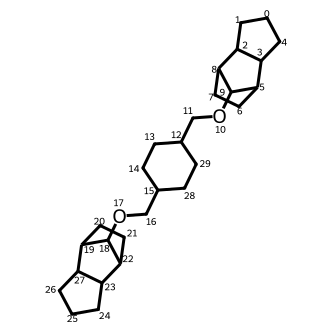 C1CC2C(C1)C1CCC2C1OCC1CCC(COC2C3CCC2C2CCCC23)CC1